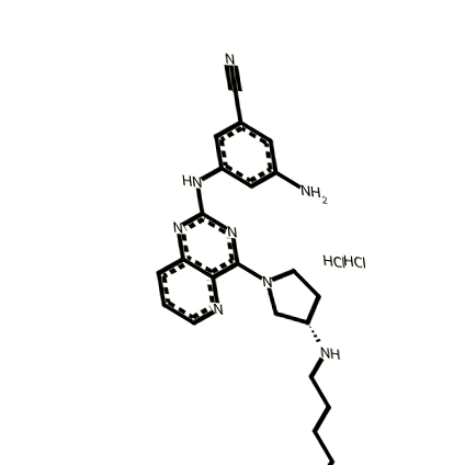 CCCCCN[C@H]1CCN(c2nc(Nc3cc(N)cc(C#N)c3)nc3cccnc23)C1.Cl.Cl